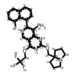 Fc1cccc2cccc(-c3ncc4c(OCC(F)(F)F)nc(OCC56CCCN5CCC6)nc4c3P)c12